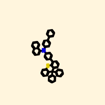 c1ccc(-c2ccc(N(c3ccc(-c4cccc5c4Sc4ccccc4C5(c4ccccc4)c4ccccc4)cc3)c3cccc4ccccc34)cc2)cc1